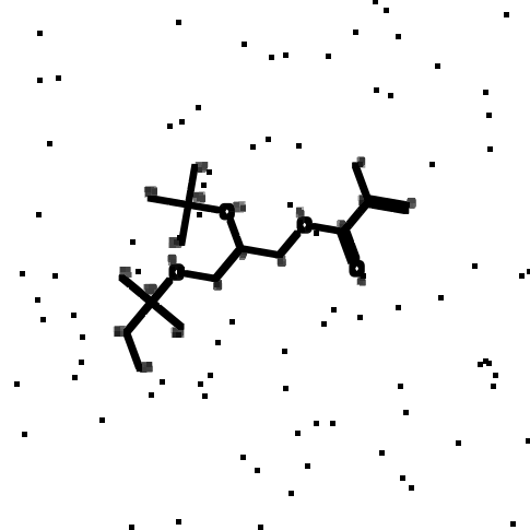 C=C(C)C(=O)OCC(COC(C)(C)CC)OC(C)(C)C